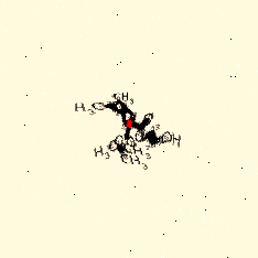 CC1C(C)C2CC1C1C3CC(C(C(=O)OC(C)(C)C)C3C(=O)OCCO)C21